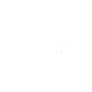 CCOc1ccc(C2(C3CCCCC3)C=CNC(N)=N2)cc1